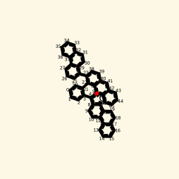 c1ccc(-c2coc3c2ccc2c4ccccc4ccc23)c(-c2c(-c3cccc4c3ccc3ccccc34)ccc3cc4ccccc4cc23)c1